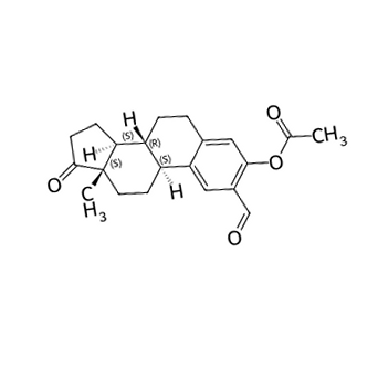 CC(=O)Oc1cc2c(cc1C=O)[C@H]1CC[C@]3(C)C(=O)CC[C@H]3[C@@H]1CC2